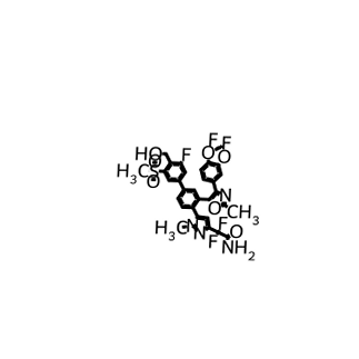 Cc1nc(-c2ccc3c(c2)OC(F)(F)O3)c(-c2cc(-c3cc(F)c(CO)c(S(C)(=O)=O)c3)ccc2-c2cc(C(F)(F)C(N)=O)nn2C)o1